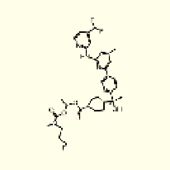 COCCN(C)C(=O)OC(C)OC(=O)[C@H]1CC[C@H]([C@@](C)(O)c2ccc(-c3cc(C)cc(Nc4cc(C(F)F)ccn4)n3)cn2)CC1